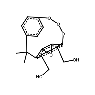 CC1(C)c2ccc(cc2)OOOc2c(CO)c(CO)c1c1c2O1